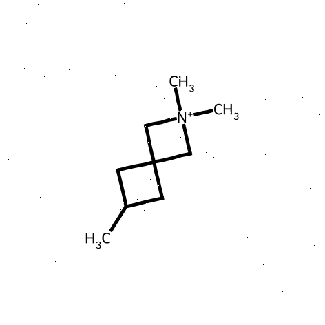 CC1CC2(C1)C[N+](C)(C)C2